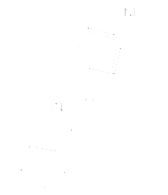 Nc1ccc(S(=O)(=O)NCC2CCCO2)cc1